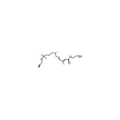 C#CCOC(C)(C)CCCC(C)CC=CC(C)=CC(=O)OCCS